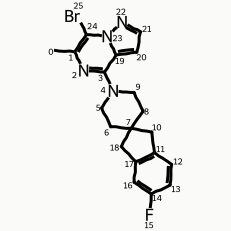 Cc1nc(N2CCC3(CC2)Cc2ccc(F)cc2C3)c2ccnn2c1Br